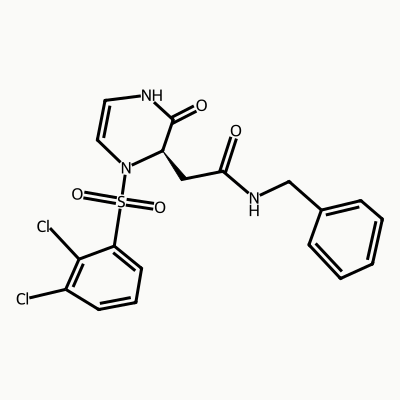 O=C(C[C@@H]1C(=O)NC=CN1S(=O)(=O)c1cccc(Cl)c1Cl)NCc1ccccc1